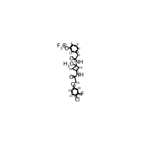 CC1(NC(=O)Cc2cccc(OC(F)(F)F)c2)CC(NC(=O)COc2ccc(Cl)c(F)c2)C1